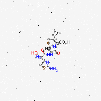 Nc1nc(/C(=N/O)C(=O)N[C@@H]2C(=O)N3C(C(=O)O)=C(C4CC4)CS[C@H]23)cs1